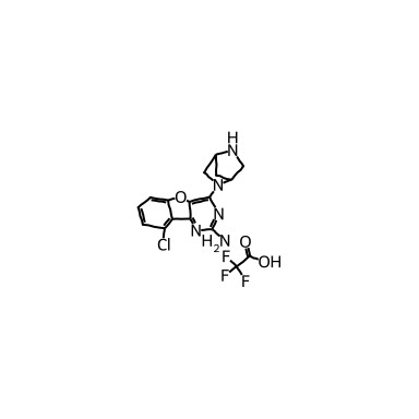 Nc1nc(N2CC3CC2CN3)c2oc3cccc(Cl)c3c2n1.O=C(O)C(F)(F)F